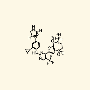 [2H]C([2H])([2H])N1CCS(=O)(=O)c2cc(-c3nc(Nc4ccc(N5C[C@H]6C[C@@H]5CN6)cc4C4CC4)ncc3C(F)(F)F)sc2C1=O